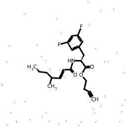 C#CCCOC(=O)[C@H](Cc1cc(F)cc(F)c1)NC(=O)/C=C/C(C)CCC